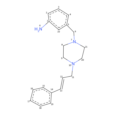 Nc1cccc(CN2CCN(C/C=C/c3ccccc3)CC2)c1